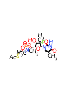 CC(=O)SCCOP(=O)(OC[C@H]1O[C@@H](n2cc(C)c(=O)[nH]c2=O)[C@@](C)(F)C1O)N(C)C